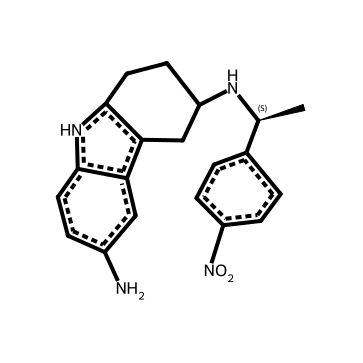 C[C@H](NC1CCc2[nH]c3ccc(N)cc3c2C1)c1ccc([N+](=O)[O-])cc1